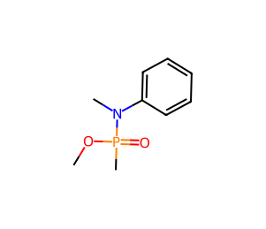 COP(C)(=O)N(C)c1ccccc1